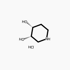 Cl.O[C@@H]1CCNC[C@@H]1O